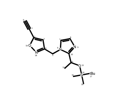 C#Cc1cc(Cn2ccnc2C(C)O[Si](C)(C)C(C)(C)C)no1